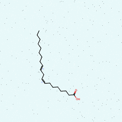 CCCCCCCC/C=C/C/C=C\CCCCCCC(=O)O